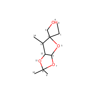 CCC1(CO)OC2OC(C)(C)OC2C1C